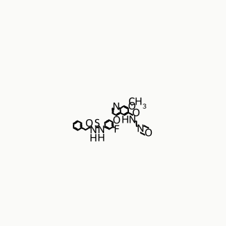 COc1cc2nccc(Oc3ccc(NC(=S)NC(=O)Cc4ccccc4)cc3F)c2cc1C(=O)NCCN1CCOCC1